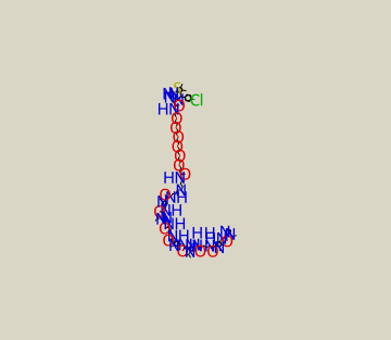 Cc1sc2c(c1C)C(c1ccc(Cl)cc1)=N[C@@H](CC(=O)NCCOCCOCCOCCOCCOCCOCCC(=O)NCCCN(C)CCCNC(=O)c1cc(NC(=O)c3nc(NC(=O)CCNC(=O)c4cc(NC(=O)c5nc(NC(=O)CCNC(=O)c6cc(NC(=O)c7nccn7C(C)C)cn6C)cn5C(C)C)cn4C)cn3C(C)C)cn1C)c1nnc(C)n1-2